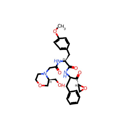 COc1ccc(C[C@H](NC(=O)CN2CCOC[C@@H]2CO)C(=O)NC(Cc2ccccc2)C(=O)[C@H]2CO2)cc1